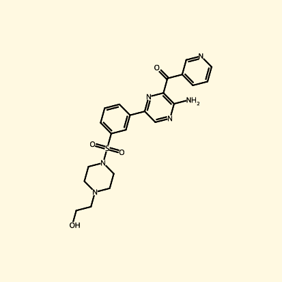 Nc1ncc(-c2cccc(S(=O)(=O)N3CCN(CCO)CC3)c2)nc1C(=O)c1cccnc1